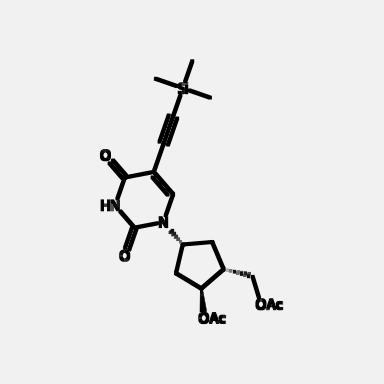 CC(=O)OC[C@H]1C[C@@H](n2cc(C#C[Si](C)(C)C)c(=O)[nH]c2=O)C[C@@H]1OC(C)=O